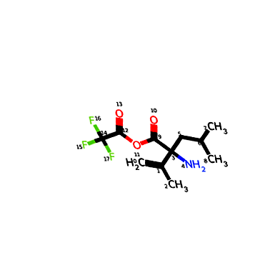 C=C(C)C(N)(CC(C)C)C(=O)OC(=O)C(F)(F)F